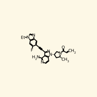 C=CC(=O)N1C[C@@H](n2nc(C#Cc3cc4ncn(CC)c4cc3F)c3c(N)nccc32)C[C@@H]1C